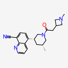 C[C@@H]1C[C@H](c2ccc(C#N)c3ncccc23)CN(C(=O)CC2CN(C)C2)C1